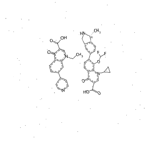 CCn1cc(C(=O)O)c(=O)c2ccc(-c3ccncc3)cc21.C[C@H]1NCc2cc(-c3ccc4c(=O)c(C(=O)O)cn(C5CC5)c4c3OC(F)F)ccc21